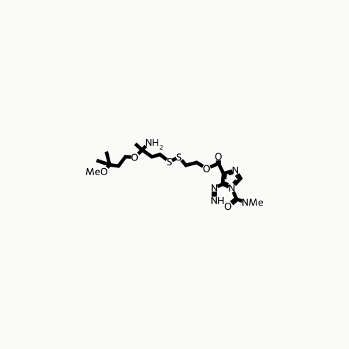 CNC(=O)n1cnc(C(=O)OCCSSCCC(C)(N)OCCC(C)(C)OC)c1N=N